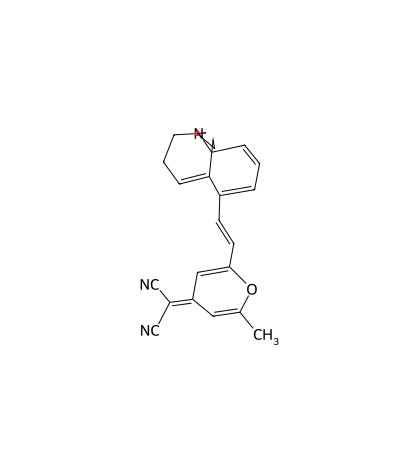 CC1=CC(=C(C#N)C#N)C=C(/C=C/C2=CC=CC34CCCCN3CCC=C24)O1